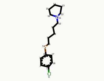 Clc1ccc(SCCCCCN2CC[CH]CC2)cc1